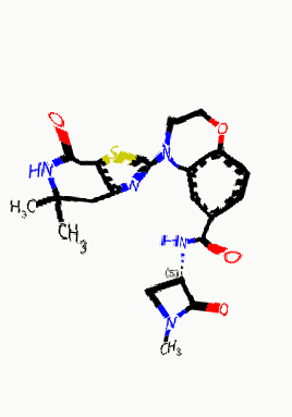 CN1C[C@H](NC(=O)c2ccc3c(c2)N(c2nc4c(s2)C(=O)NC(C)(C)C4)CCO3)C1=O